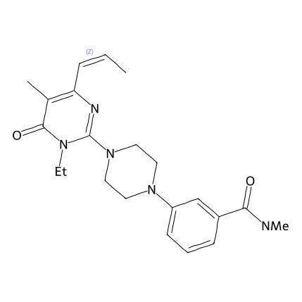 C/C=C\c1nc(N2CCN(c3cccc(C(=O)NC)c3)CC2)n(CC)c(=O)c1C